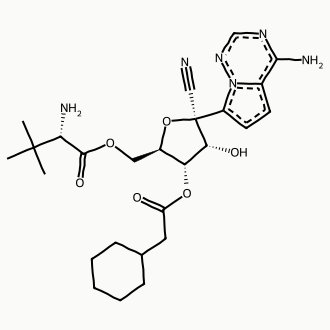 CC(C)(C)[C@H](N)C(=O)OC[C@H]1O[C@@](C#N)(c2ccc3c(N)ncnn23)[C@H](O)[C@@H]1OC(=O)CC1CCCCC1